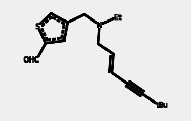 CCN(C/C=C/C#CC(C)(C)C)Cc1csc(C=O)c1